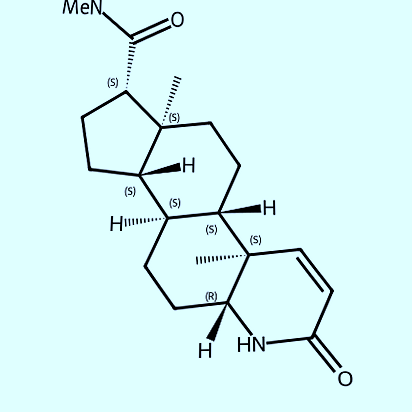 CNC(=O)[C@H]1CC[C@H]2[C@@H]3CC[C@H]4NC(=O)C=C[C@]4(C)[C@H]3CC[C@]12C